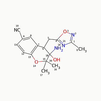 Cc1noc(CC2c3cc(C#N)ccc3OC(C)(C)C2(N)O)n1